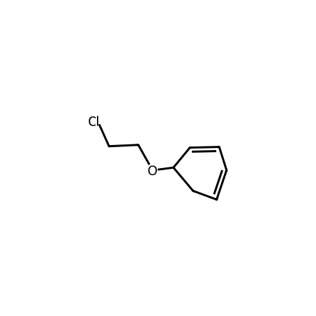 ClCCOC1C=CC=CC1